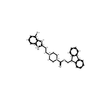 O=C(OCC1c2ccccc2-c2ccccc21)N1CCN(CCc2nc3c(F)cccc3[nH]2)CC1